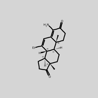 CCC1=CC2=C(N)C(=O)CC[C@]2(C)[C@H]2CC[C@]3(C)C(=O)CC[C@H]3[C@H]12